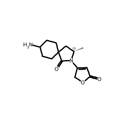 C[C@H]1CC2(CCC(N)CC2)C(=O)N1C1=CC(=O)OC1